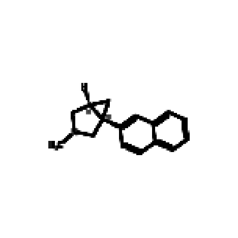 CN1C[C@H]2C[C@]2(c2ccc3ccccc3c2)C1